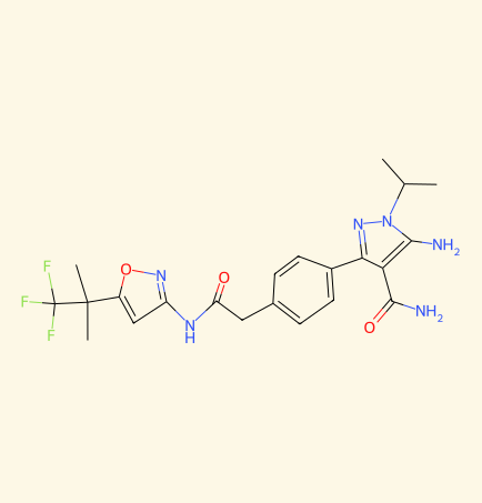 CC(C)n1nc(-c2ccc(CC(=O)Nc3cc(C(C)(C)C(F)(F)F)on3)cc2)c(C(N)=O)c1N